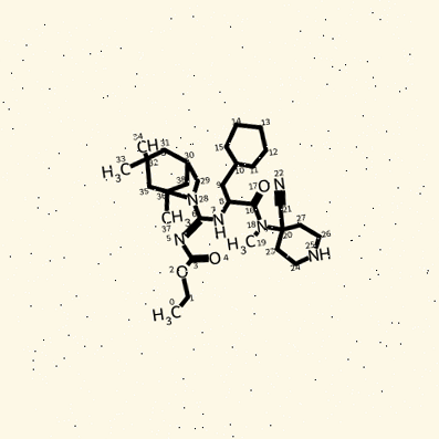 CCOC(=O)N=C(NC(CC1CCCCC1)C(=O)N(C)C1(C#N)CCNCC1)N1CC2CC(C)(C)CC1(C)C2